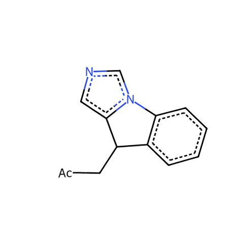 CC(=O)CC1c2ccccc2-n2cncc21